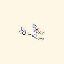 COCC(F)CN(CCCCc1ccc2c(n1)NCCC2)CCC(NC(=O)c1ccncc1)C(=O)O